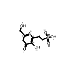 O=C1CC(CO)=NC(CCS(=O)(=O)O)=C1O